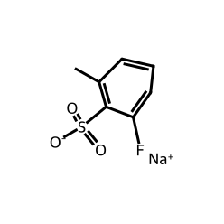 Cc1cccc(F)c1S(=O)(=O)[O-].[Na+]